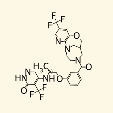 C[C@@H](COc1cccc(C(=O)N2CCN3CC(COc4cc(C(F)(F)F)cnc43)C2)c1)Nc1cn[nH]c(=O)c1C(F)(F)F